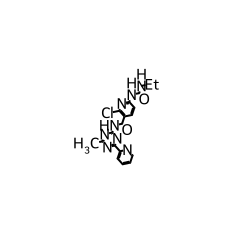 CCNC(=O)Nc1ccc(C(=O)Nc2nc(C)nc(-c3ccccn3)n2)c(Cl)n1